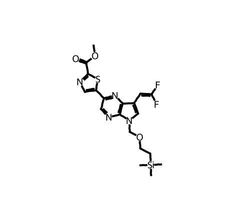 COC(=O)c1ncc(-c2cnc3c(n2)c(C=C(F)F)cn3COCC[Si](C)(C)C)s1